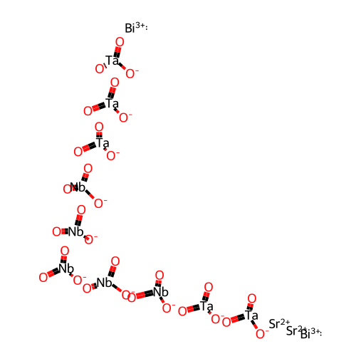 [Bi+3].[Bi+3].[O]=[Nb](=[O])[O-].[O]=[Nb](=[O])[O-].[O]=[Nb](=[O])[O-].[O]=[Nb](=[O])[O-].[O]=[Nb](=[O])[O-].[O]=[Ta](=[O])[O-].[O]=[Ta](=[O])[O-].[O]=[Ta](=[O])[O-].[O]=[Ta](=[O])[O-].[O]=[Ta](=[O])[O-].[Sr+2].[Sr+2]